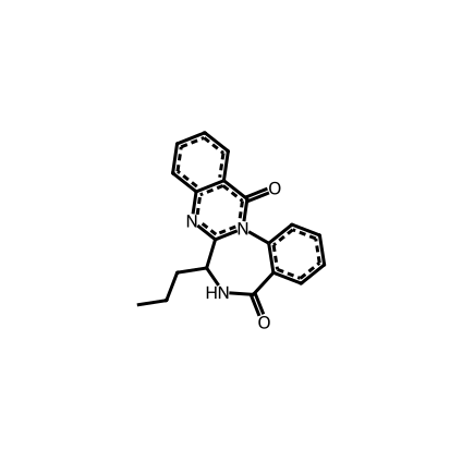 CCCC1NC(=O)c2ccccc2-n2c1nc1ccccc1c2=O